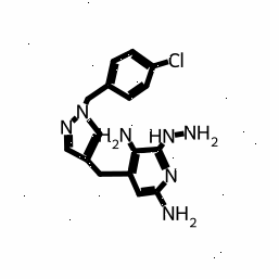 NNc1nc(N)cc(Cc2cnn(Cc3ccc(Cl)cc3)c2)c1N